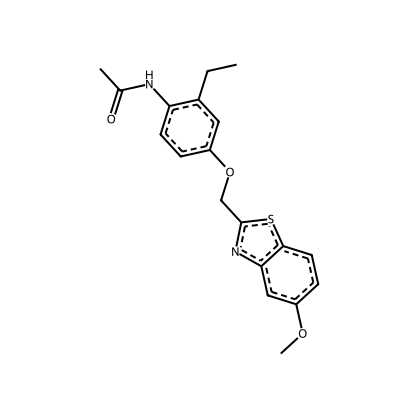 CCc1cc(OCc2nc3cc(OC)ccc3s2)ccc1NC(C)=O